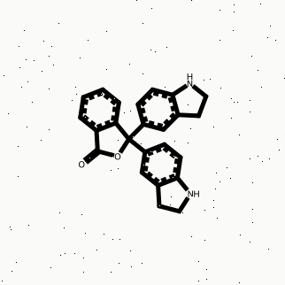 O=C1OC(c2ccc3c(c2)CCN3)(c2ccc3c(c2)CCN3)c2ccccc21